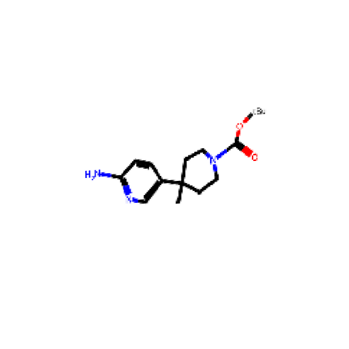 CC(C)(C)OC(=O)N1CCC(C)(c2ccc(N)nc2)CC1